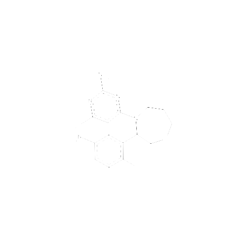 Cc1cc(N2CCCOCC2c2cc(N)ccc2Cl)nc(N)n1